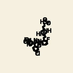 CC(C)Oc1ccc([C@H](c2ccc(Cl)cc2)[C@H](N)C(=O)Nc2cccc(F)c2CCC2CNC(CCC[SH](=O)=O)CN2)cn1